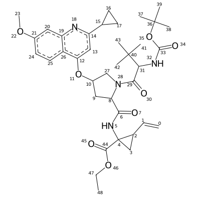 C=CC1CC1(NC(=O)C1CC(Oc2cc(C3CC3)nc3cc(OC)ccc23)CN1C(=O)C(NC(=O)OC(C)(C)C)C(C)(C)C)C(=O)OCC